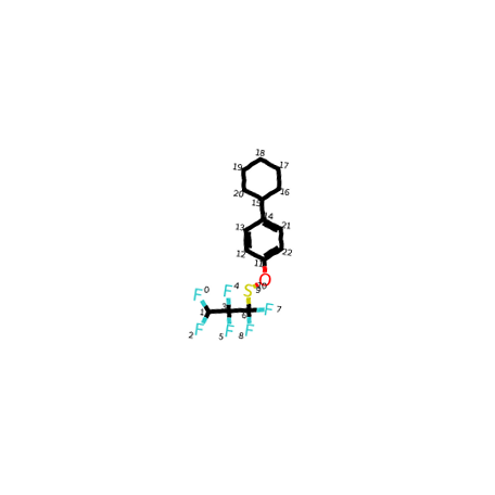 FC(F)C(F)(F)C(F)(F)SOc1ccc(C2CCCCC2)cc1